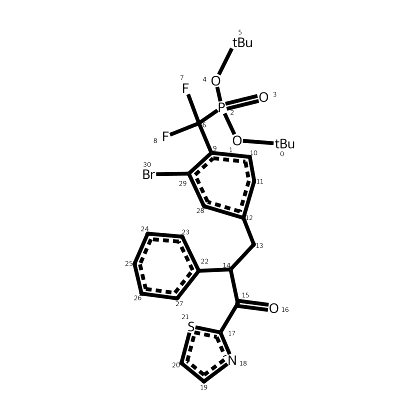 CC(C)(C)OP(=O)(OC(C)(C)C)C(F)(F)c1ccc(CC(C(=O)c2nccs2)c2ccccc2)cc1Br